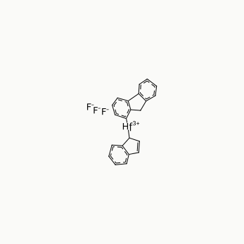 C1=C[CH]([Hf+3][c]2cccc3c2Cc2ccccc2-3)c2ccccc21.[F-].[F-].[F-]